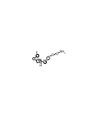 N=C(/C=C\c1ncc(-c2cccc(N3CCN(CCOCCOCCN)CC3)n2)[nH]1)N1CCCC1c1cccc(F)c1